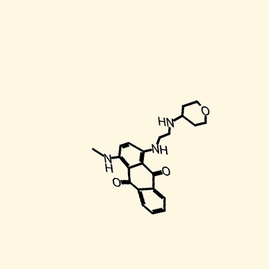 CNc1ccc(NCCNC2CCOCC2)c2c1C(=O)c1ccccc1C2=O